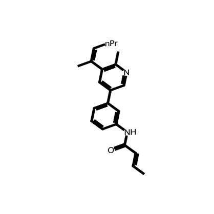 C/C=C/C(=O)Nc1cccc(-c2cnc(C)c(/C(C)=C\CCC)c2)c1